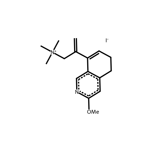 C=C(C[N+](C)(C)C)C1=CCCc2cc(OC)ncc21.[I-]